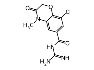 CN1C(=O)COc2c(Cl)cc(C(=O)NC(=N)N)cc21